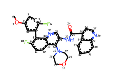 COc1ccc(F)c(-c2c(F)ccc3c(N4CCOCC4)c(NC(=O)c4ccnc5ccccc45)cnc23)c1